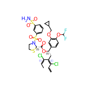 C=C/C(Cl)=C(C[C@H](OC(=O)[C@@H]1SCCN1S(=O)(=O)c1cccc(S(N)(=O)=O)c1)c1ccc(OC(F)F)c(OCC2CC2)c1)\C(Cl)=C/C